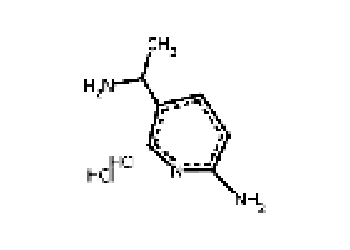 CC(N)c1ccc(N)nc1.Cl.Cl